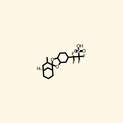 CC1C[C@@H]2CCCC(C2)C12OC1CCC(C(F)(F)C(F)(F)S(=O)(=O)O)CC1O2